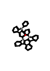 c1ccc(-n2c3ccccc3c3cc(-n4c5ccccc5c5c6ccccc6c6c7ccccc7n(-c7ccccc7)c6c54)ccc32)cc1